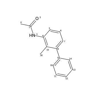 CC(=O)Nc1cccc(-c2ccccc2)c1C